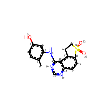 Cc1ccc(O)cc1Nc1ncnc2ccc3c(c12)CCS3(=O)=O